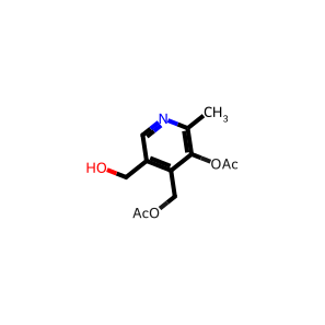 CC(=O)OCc1c(CO)cnc(C)c1OC(C)=O